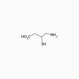 NCC(S)CC(=O)O